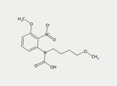 COCCCCN(C(=O)O)c1cccc(OC)c1[N+](=O)[O-]